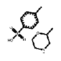 CC1CNCCO1.Cc1ccc(S(=O)(=O)O)cc1